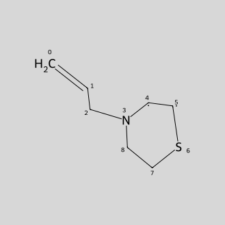 C=CCN1[CH][CH]SCC1